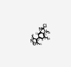 Cc1noc(C)c1-c1cc(I)c2c(c1)nc(Cl)n2C